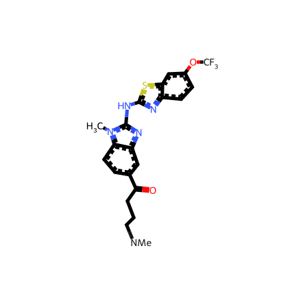 CNCCCC(=O)c1ccc2c(c1)nc(Nc1nc3ccc(OC(F)(F)F)cc3s1)n2C